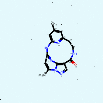 CNc1cc2nc3c(cnn13)C(=O)NCCc1cc(C)cc(n1)N2